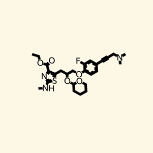 CCOC(=O)c1nc(NC)sc1CC(COc1ccc(C#CCN(C)C)cc1F)OC1CCCCO1